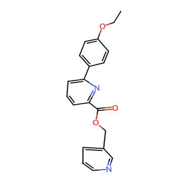 CCOc1ccc(-c2cccc(C(=O)OCc3cccnc3)n2)cc1